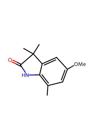 COc1cc(C)c2c(c1)C(C)(C)C(=O)N2